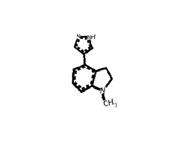 CN1CCc2c(-c3cn[nH]c3)cccc21